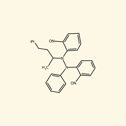 CC(C)CCC(C)N(c1ccccc1N=O)N(c1ccccc1)c1ccccc1N=O